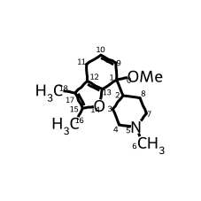 COC1(C2CCN(C)CC2)C=CCc2c1oc(C)c2C